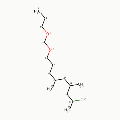 CCCOCOCCCC(C)CC(C)CC(C)Cl